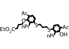 CCCc1c(SCCCSc2ccc(C(C)=O)c(OCCCC(=O)OCC)c2CCC)ccc(C(C)=O)c1O